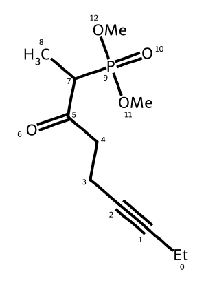 CCC#CCCC(=O)C(C)P(=O)(OC)OC